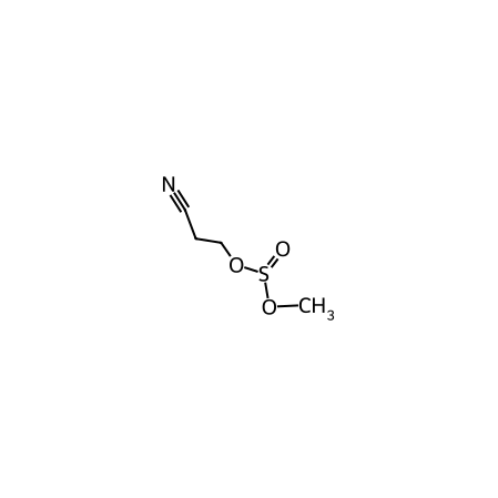 COS(=O)OCCC#N